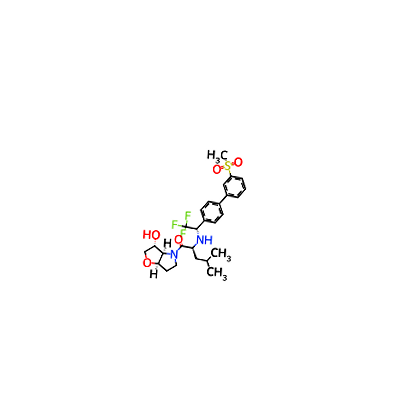 CC(C)C[C@H](N[C@@H](c1ccc(-c2cccc(S(C)(=O)=O)c2)cc1)C(F)(F)F)C(=O)N1CC[C@H]2OC[C@H](O)[C@H]21